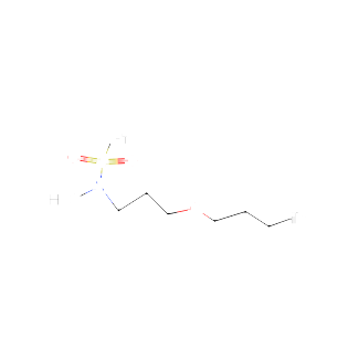 CC(C)CCCOCCCN(C)S(=O)(=O)C(C)C